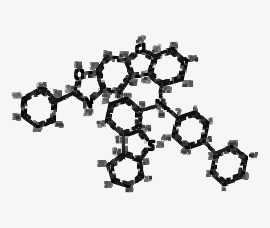 c1ccc(-c2ccc(N(c3cccc4c3sc3ccccc34)c3cccc4oc5cc6oc(-c7ccccc7)nc6cc5c34)cc2)cc1